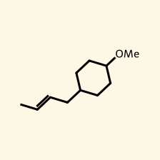 C/C=C/CC1CCC(OC)CC1